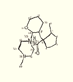 CC1CCCC1(C(N)=O)C1CCCOC1N1CCN(C)CC1